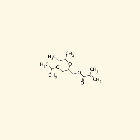 C=C(C)C(=O)OCC(COC(C)C)OC(C)CC